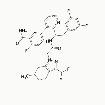 CC1CCc2c(C(F)F)nn(CC(=O)NC(Cc3cc(F)cc(F)c3)c3ncccc3-c3ccc(F)c(C(N)=O)c3)c2C1